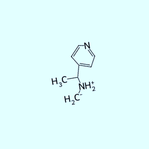 [CH2-][NH2+]C(C)c1ccncc1